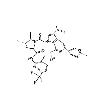 CC(=O)c1cn(CC(=O)N2C(C(=O)Nc3nc(C(F)(F)F)ccc3C)C[C@H](C)[C@H]2I)c2c(CO)nc(-c3cnc(C)nc3)cc12